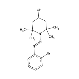 CC1(C)CC(O)CC(C)(C)N1/N=N/c1ccccc1Br